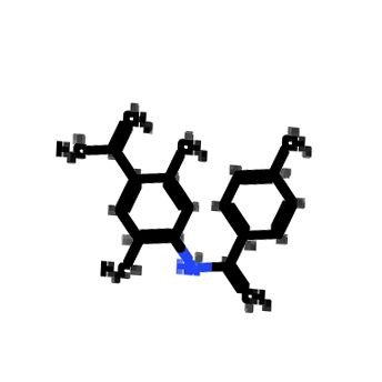 C=C(Nc1cc(C)c(C(=C)C)cc1C)c1ccc(C)cc1